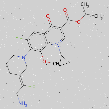 COc1c(N2CCCC(=C(F)CN)C2)c(F)cc2c(=O)c(C(=O)OC(C)C)cn(C3CC3)c12